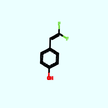 Oc1ccc(C=C(F)F)cc1